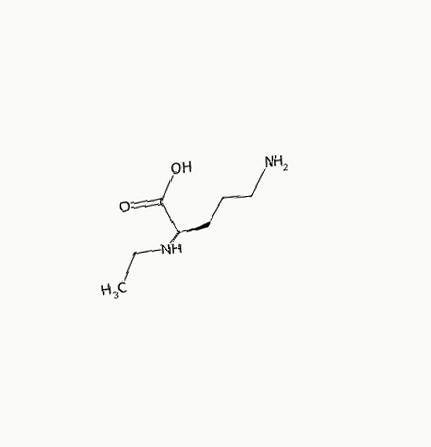 CCN[C@H](CCCN)C(=O)O